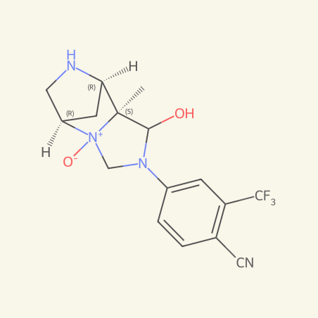 C[C@]12C(O)N(c3ccc(C#N)c(C(F)(F)F)c3)C[N+]1([O-])[C@H]1CN[C@@H]2C1